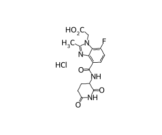 Cc1nc2c(C(=O)NC3CCC(=O)NC3=O)ccc(F)c2n1CC(=O)O.Cl